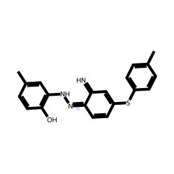 Cc1ccc(SC2=CC(=N)/C(=N\Nc3cc(C)ccc3O)C=C2)cc1